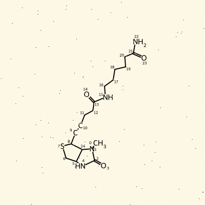 CN1C(=O)NC2CSC(CCCCC(=O)NCCCCCC(N)=O)C21